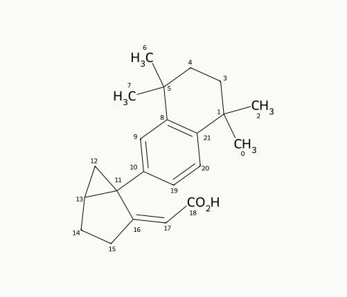 CC1(C)CCC(C)(C)c2cc(C34CC3CC/C4=C/C(=O)O)ccc21